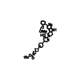 COCOc1ccccc1-c1cc2c3c([nH]c2nn1)CCN(c1ncc(C2CCN(C4CC5(C4)CN(C(=O)OC(C)(C)C)C5)CC2)cn1)[C@@H]3CO